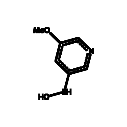 COc1cncc(BO)c1